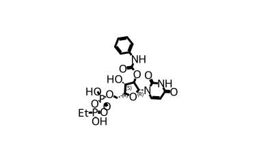 CCP(=O)(O)OP(=O)(O)OC[C@H]1O[C@@H](n2ccc(=O)[nH]c2=O)C(OC(=O)Nc2ccccc2)[C@H]1O